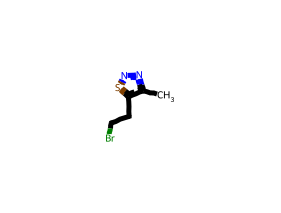 Cc1nnsc1CCBr